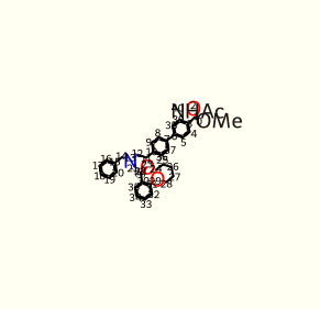 COC(=O)c1ccc(-c2ccc(CCN(Cc3ccccc3)C[C@H](OC3CCCCO3)c3ccccc3)cc2)cc1NC(C)=O